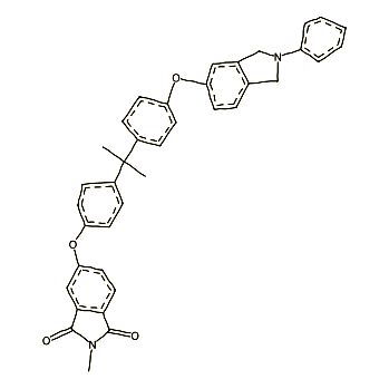 CN1C(=O)c2ccc(Oc3ccc(C(C)(C)c4ccc(Oc5ccc6c(c5)CN(c5ccccc5)C6)cc4)cc3)cc2C1=O